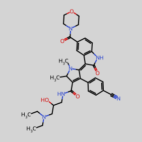 CCN(CC)CC(O)CNC(=O)C1=C(c2ccc(C#N)cc2)C(=C2C(=O)Nc3ccc(C(=O)N4CCOCC4)cc32)N(C)C1C